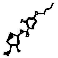 CCCCOc1ccc(C(=O)Oc2ccc(C#N)c(F)c2)c(F)c1